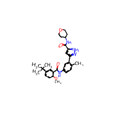 COc1ccc(C(C)(C)C)cc1C(=O)Nc1ccc(C)c(-c2cc(C(=O)NC3CCOCC3)[nH]n2)c1